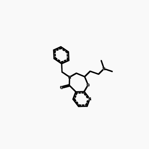 CN(C)CCC1CN(Cc2ccccc2)C(=O)c2cccnc2O1